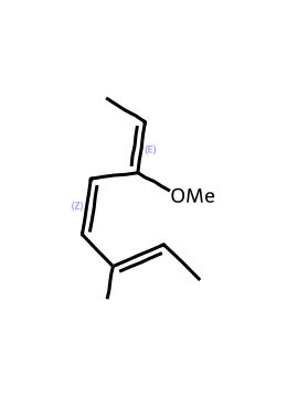 CC=C(C)/C=C\C(=C/C)OC